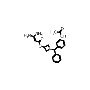 CC(=O)O.NC(N)=CC(=O)OC1CN(C(c2ccccc2)c2ccccc2)C1